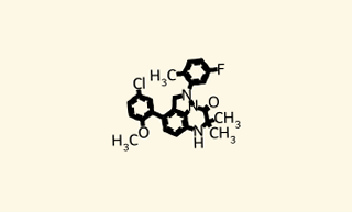 COc1ccc(Cl)cc1-c1ccc2c3c1CN(c1cc(F)ccc1C)N3C(=O)C(C)(C)N2